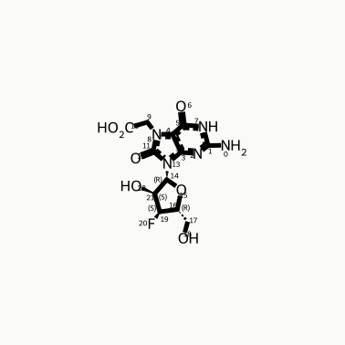 Nc1nc2c(c(=O)[nH]1)n(CC(=O)O)c(=O)n2[C@@H]1O[C@H](CO)[C@@H](F)[C@H]1O